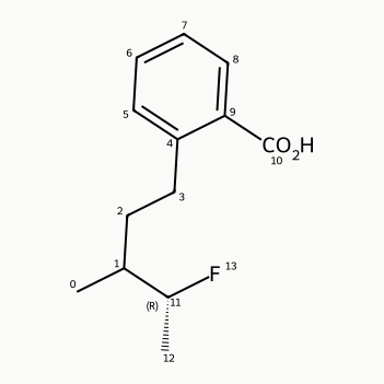 CC(CCc1ccccc1C(=O)O)[C@@H](C)F